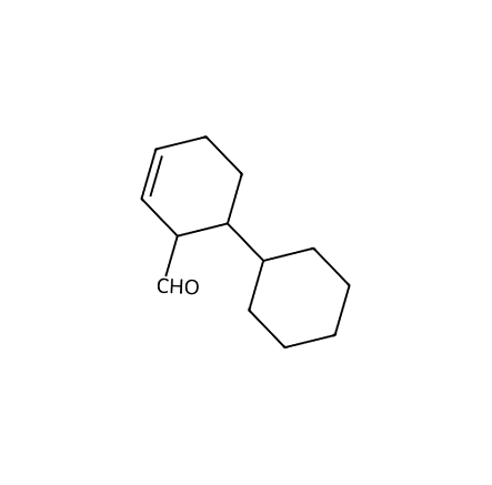 O=CC1C=CCCC1C1CCCCC1